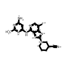 Cc1nc(N)cc(Nc2ncc(F)c3nc(N4CCCC(C#N)C4)sc23)n1